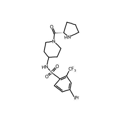 CC(C)c1ccc(S(=O)(=O)NC2CCN(C(=O)[C@@H]3CCCN3)CC2)c(C(F)(F)F)c1